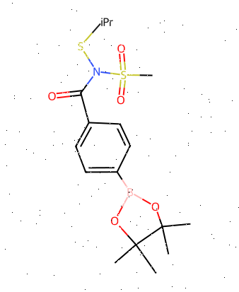 CC(C)SN(C(=O)c1ccc(B2OC(C)(C)C(C)(C)O2)cc1)S(C)(=O)=O